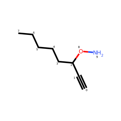 C#CC(CCCCC)ON